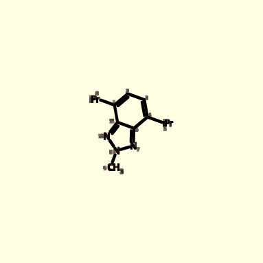 CC(C)c1ccc(C(C)C)c2nn(C)nc12